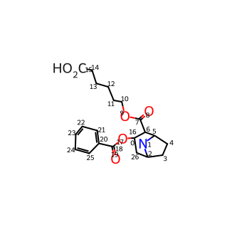 CN1C2CCC1C(C(=O)OCCCCCC(=O)O)C(OC(=O)c1ccccc1)C2